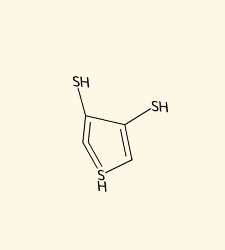 SC1=C=[SH]C=C1S